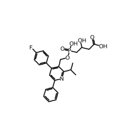 CC(C)c1nc(-c2ccccc2)cc(-c2ccc(F)cc2)c1COP(=O)(O)CC(O)CC(=O)O